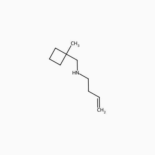 C=CCCNCC1(C)CCC1